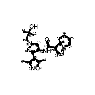 Cc1noc(C)c1-c1nn(CC(C)(C)O)cc1NC(=O)c1cnn2cccnc12